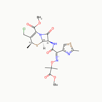 BOC(=O)C1=C(CCl)[C@H](C)S[C@@H]2[C@H](NC(=O)/C(=N\OC(C)(C)C(=O)OC(C)(C)C)c3csc(C)n3)C(=O)N12